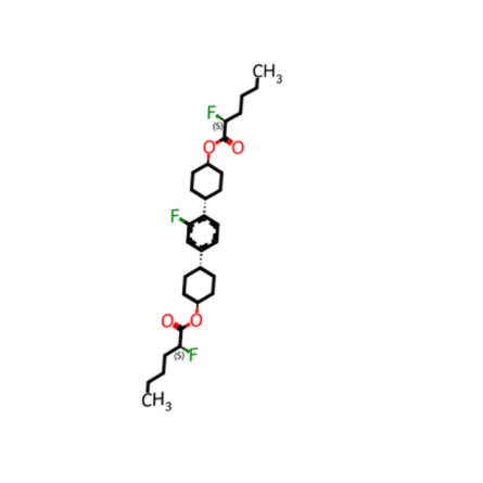 CCCC[C@H](F)C(=O)O[C@H]1CC[C@H](c2ccc([C@H]3CC[C@H](OC(=O)[C@@H](F)CCCC)CC3)c(F)c2)CC1